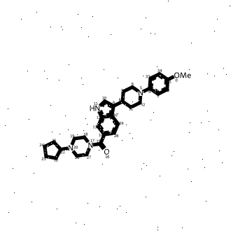 COc1ccc(N2CCC(c3c[nH]c4cc(C(=O)N5CCN(C6CCCC6)CC5)ccc34)CC2)cc1